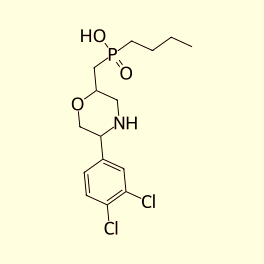 CCCCP(=O)(O)CC1CNC(c2ccc(Cl)c(Cl)c2)CO1